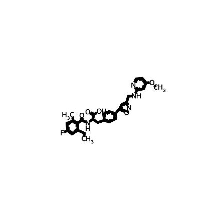 CCc1cc(F)cc(C)c1C(=O)NC(Cc1ccc(-c2cc(CNc3cc(OC)ccn3)no2)cc1)C(=O)O